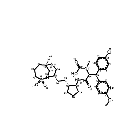 COc1ccc([C@H](c2ccc(Cl)cc2)[C@@H](C(=O)N[C@H]2CCC[C@@H]2CC[C@H]2CN[C@@H]3CCCS(=O)(=O)N2C3)N(C)C(=O)O)cn1